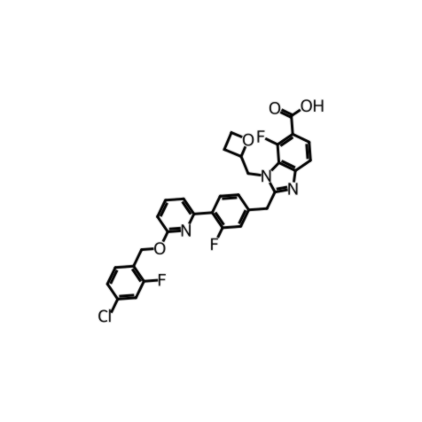 O=C(O)c1ccc2nc(Cc3ccc(-c4cccc(OCc5ccc(Cl)cc5F)n4)c(F)c3)n(CC3CCO3)c2c1F